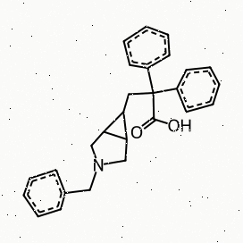 O=C(O)C(CC1C2CN(Cc3ccccc3)CC21)(c1ccccc1)c1ccccc1